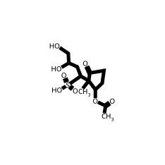 CC(=O)OC1CCC(=O)C1(C)C(CC(O)CO)S(=O)(=O)O